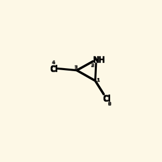 ClC1NC1Cl